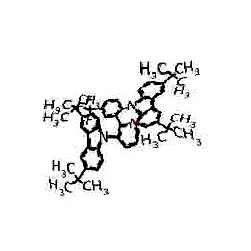 CC(C)(C)c1ccc2c(c1)c1cc(C(C)(C)C)ccc1n2-c1ccc(C(F)(F)F)cc1-c1ncccc1-n1c2ccc(C(C)(C)C)cc2c2cc(C(C)(C)C)ccc21